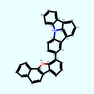 c1ccc2c(c1)ccc1c3cccc(-c4ccc5c(c4)c4cccc6c7ccccc7n5c64)c3oc21